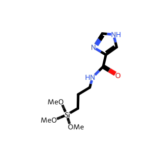 CO[Si](CCCNC(=O)c1c[nH]cn1)(OC)OC